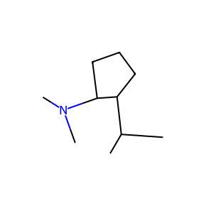 CC(C)C1CCCC1N(C)C